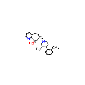 Cc1ccccc1C1CCN(C[C@@H]2CCc3cccnc3[C@@H](O)C2)CC1C